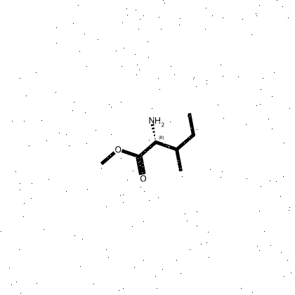 CCC(C)[C@@H](N)C(=O)OC